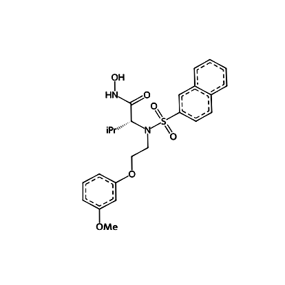 COc1cccc(OCCN([C@@H](C(=O)NO)C(C)C)S(=O)(=O)c2ccc3ccccc3c2)c1